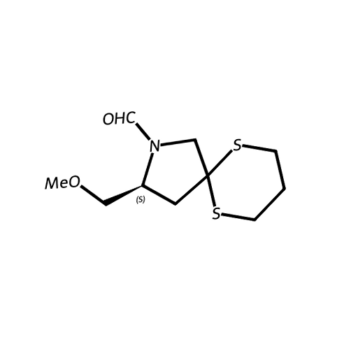 COC[C@@H]1CC2(CN1C=O)SCCCS2